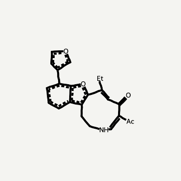 CC/C1=C\C(=O)/C(C(C)=O)=C\NCCc2c1oc1c(-c3ccoc3)cccc21